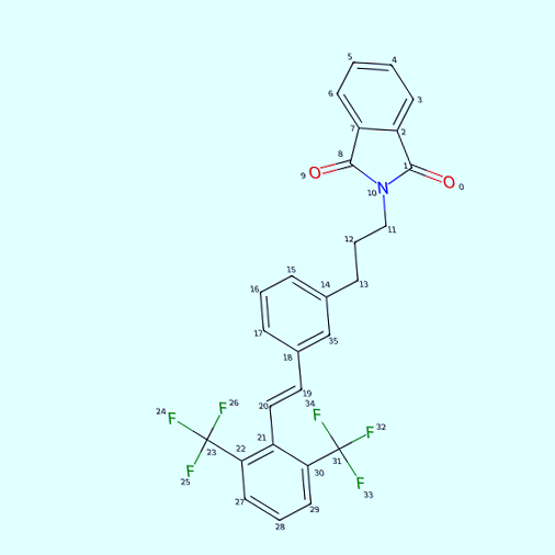 O=C1c2ccccc2C(=O)N1CCCc1cccc(/C=C/c2c(C(F)(F)F)cccc2C(F)(F)F)c1